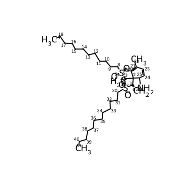 C=C(C1(C(=C)S(=O)(=O)CCCCCCCCCCCC)C=C(C)C=CC1N)S(=O)(=O)CCCCCCCCCCCC